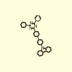 C1=CCC(c2nc(-c3ccccc3)nc(-c3ccc(-c4ccc(-n5c6ccccc6c6ccccc65)cc4)cc3)n2)C=C1